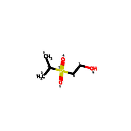 CC(C)S(=O)(=O)CCO